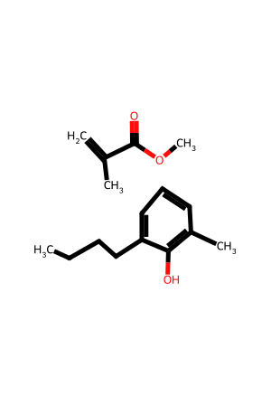 C=C(C)C(=O)OC.CCCCc1cccc(C)c1O